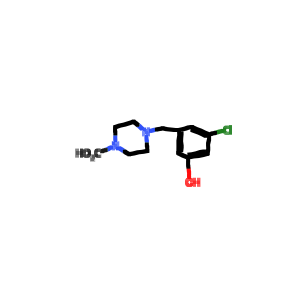 O=C(O)N1CCN(Cc2cc(O)cc(Cl)c2)CC1